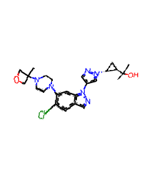 CC(C)(O)[C@@H]1C[C@H]1n1cc(-n2ncc3cc(Cl)c(N4CCN(C5(C)COC5)CC4)cc32)cn1